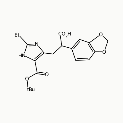 CCc1nc(CC(C(=O)O)c2ccc3c(c2)OCO3)c(C(=O)OC(C)(C)C)[nH]1